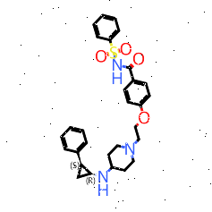 O=C(NS(=O)(=O)c1ccccc1)c1ccc(OCCN2CCC(N[C@@H]3C[C@H]3c3ccccc3)CC2)cc1